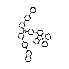 c1ccc(-c2ccc(-c3cccc(N(c4ccc(-c5cccc6c5-c5ccccc5C6(c5ccccc5)c5ccccc5)cc4)c4cccc(-c5ccc(-c6ccc7ccccc7c6)cc5)c4)c3)cc2)cc1